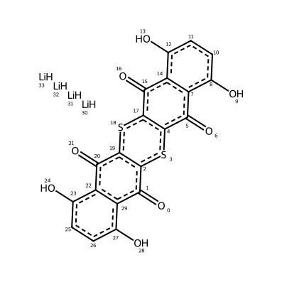 O=c1c2sc3c(=O)c4c(O)ccc(O)c4c(=O)c3sc2c(=O)c2c(O)ccc(O)c12.[LiH].[LiH].[LiH].[LiH]